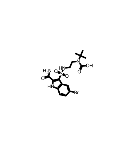 CC(C)(C)N(CCNS(=O)(=O)c1c(C(N)=O)[nH]c2ccc(Br)cc12)C(=O)O